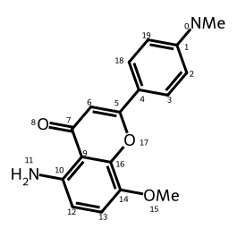 CNc1ccc(-c2cc(=O)c3c(N)ccc(OC)c3o2)cc1